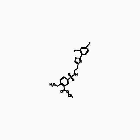 CCc1ccc(S(=O)(=O)NCCc2csc(-c3ccc(F)cc3F)n2)cc1C(=O)OC